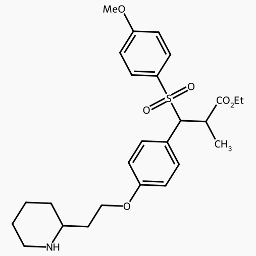 CCOC(=O)C(C)C(c1ccc(OCCC2CCCCN2)cc1)S(=O)(=O)c1ccc(OC)cc1